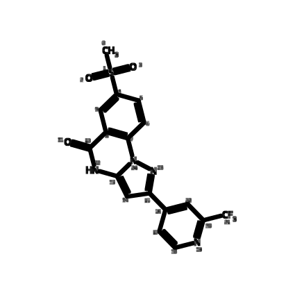 CS(=O)(=O)c1ccc2c(c1)c(=O)[nH]c1cc(-c3ccnc(C(F)(F)F)c3)nn12